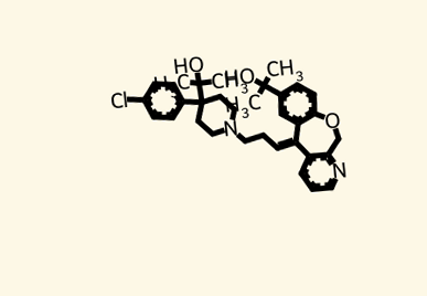 CC(C)(O)c1ccc2c(c1)C(=CCCN1CCC(c3ccc(Cl)cc3)(C(C)(C)O)CC1)c1cccnc1CO2